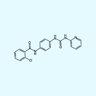 O=C(Nc1ccc(NC(=O)c2ccccc2Cl)cc1)Nc1ccccn1